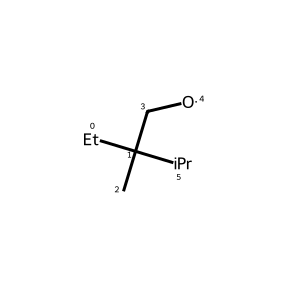 CCC(C)(C[O])C(C)C